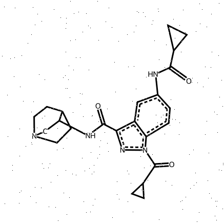 O=C(NC1CN2CCC1CC2)c1nn(C(=O)C2CC2)c2ccc(NC(=O)C3CC3)cc12